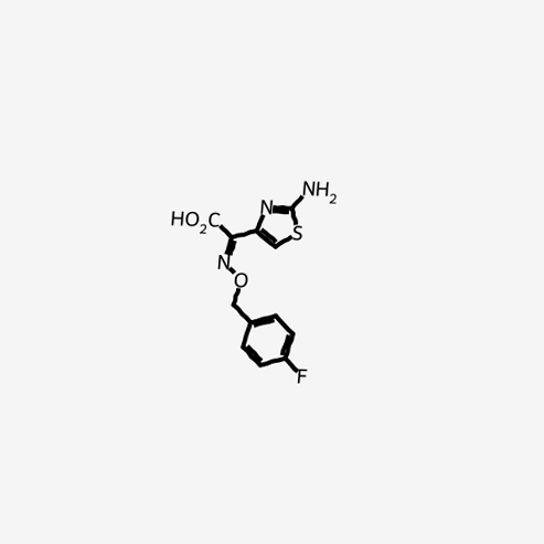 Nc1nc(C(=NOCc2ccc(F)cc2)C(=O)O)cs1